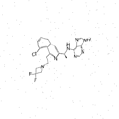 C[C@H](Nc1ncnc2[nH]cnc12)C1=CC2CC=CC(Cl)=C2C(CCN2CC(F)(F)C2)=N1